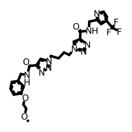 COCCOc1cccc(CNC(=O)c2cn(CCCCn3cc(C(=O)NCc4cc(C(F)(F)F)ccn4)nn3)nn2)c1